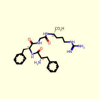 N=C(N)NCCC[C@H](NC(=O)CNC(=O)[C@H](Cc1ccccc1)NC(=O)[C@@H](N)Cc1ccccc1)C(=O)O